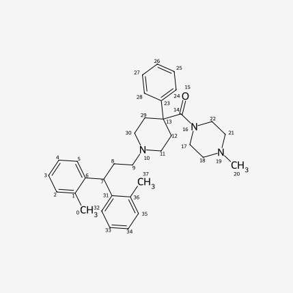 Cc1ccccc1C(CCN1CCC(C(=O)N2CCN(C)CC2)(c2ccccc2)CC1)c1ccccc1C